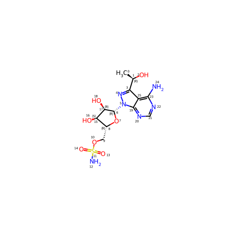 C[C@@H](O)c1nn([C@@H]2O[C@H](COS(N)(=O)=O)[C@@H](O)[C@H]2O)c2ncnc(N)c12